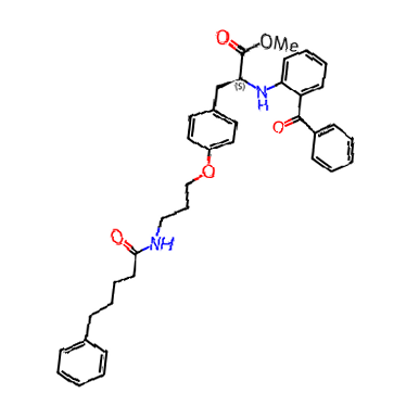 COC(=O)[C@H](Cc1ccc(OCCCNC(=O)CCCCc2ccccc2)cc1)Nc1ccccc1C(=O)c1ccccc1